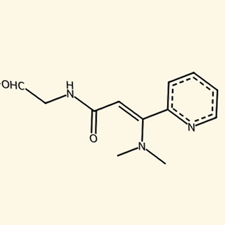 CN(C)C(=CC(=O)NC[C]=O)c1ccccn1